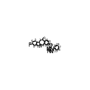 CC1CC2c3ccc(F)cc3CC2(C)Cc2cc(Oc3nnnn3-c3ccccc3)ccc21